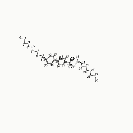 CCCCCCCCCCOc1ccc(-c2ccc([C@H]3OC[C@H](CCCCCCCC)CO3)cn2)cc1